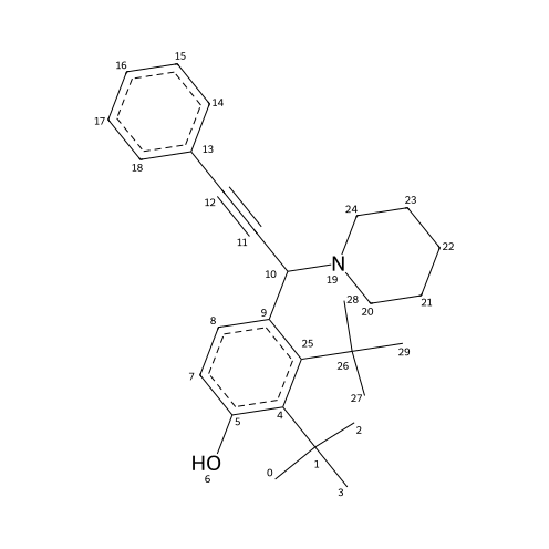 CC(C)(C)c1c(O)ccc(C(C#Cc2ccccc2)N2CCCCC2)c1C(C)(C)C